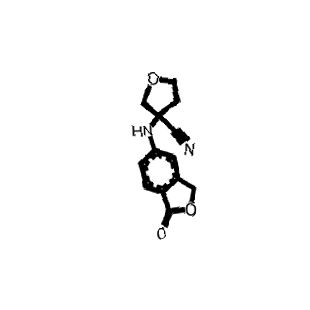 N#CC1(Nc2ccc3c(c2)COC3=O)CCOC1